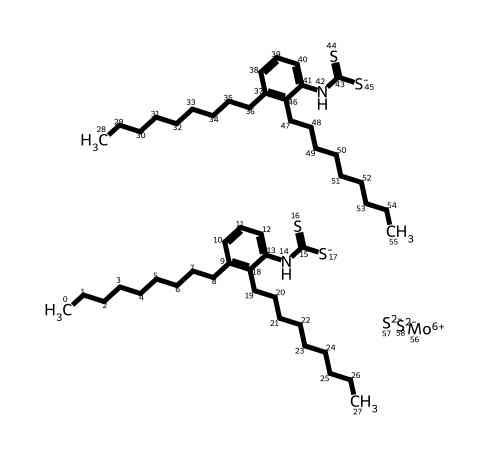 CCCCCCCCCc1cccc(NC(=S)[S-])c1CCCCCCCCC.CCCCCCCCCc1cccc(NC(=S)[S-])c1CCCCCCCCC.[Mo+6].[S-2].[S-2]